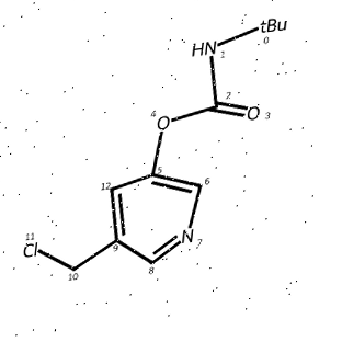 CC(C)(C)NC(=O)Oc1cncc(CCl)c1